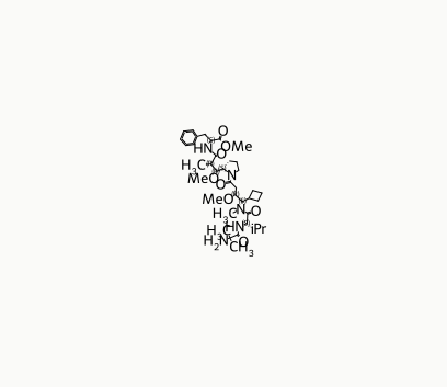 COC(=O)[C@H](Cc1ccccc1)NC(=O)[C@H](C)[C@@H](OC)[C@@H]1CCCN1C(=O)C[C@@H](OC)[C@H](C1CCC1)N(C)C(=O)[C@@H](NC(=O)C(C)(C)N)C(C)C